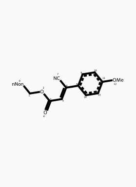 CCCCCCCCCCOC(=O)C=C(C#N)c1ccc(OC)cc1